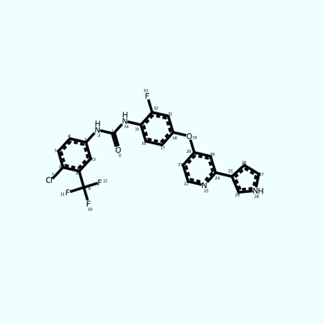 O=C(Nc1ccc(Cl)c(C(F)(F)F)c1)Nc1ccc(Oc2ccnc(-c3cc[nH]c3)c2)cc1F